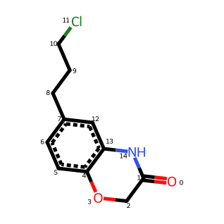 O=C1COc2ccc(CCCCl)cc2N1